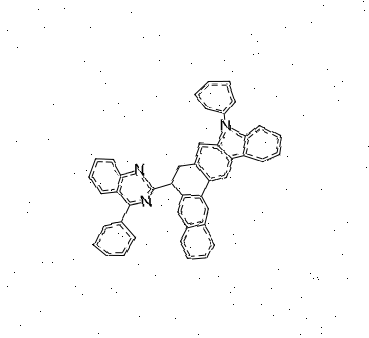 c1ccc(-c2nc(C3Cc4cc5c(cc4-c4cc6ccccc6cc43)c3ccccc3n5-c3ccccc3)nc3ccccc23)cc1